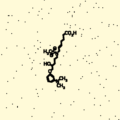 CN(C)c1cccc(OCC(O)CCCN(CC=CCCCC(=O)O)S(C)(=O)=O)c1